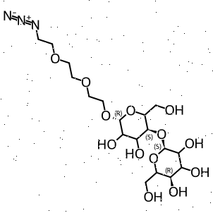 [N-]=[N+]=NCCOCCOCCO[C@@H]1OC(CO)[C@@H](O[C@@H]2OC(CO)[C@H](O)C(O)C2O)C(O)C1O